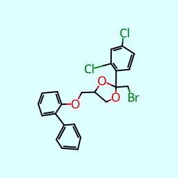 Clc1ccc(C2(CBr)OCC(COc3ccccc3-c3ccccc3)O2)c(Cl)c1